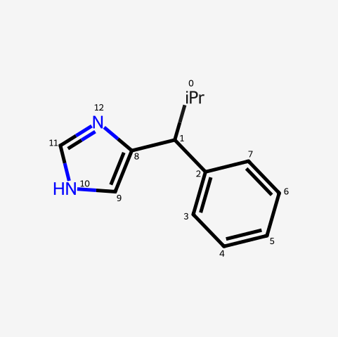 CC(C)C(c1ccccc1)c1c[nH]cn1